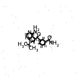 CC(C)n1cc(C(=O)c2cccc(C(N)=O)c2)c2c(N)ncnc21